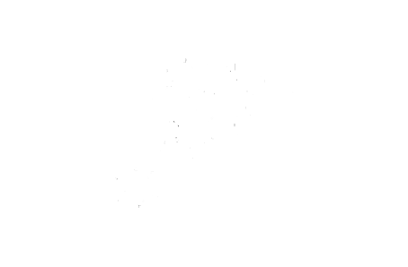 COC(=O)[C@@H](C)Oc1ccc(F)cc1C1c2ccccc2CCN1C(=O)OCc1ccccc1